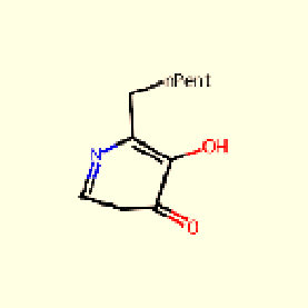 CCCCCCC1=C(O)C(=O)CC=N1